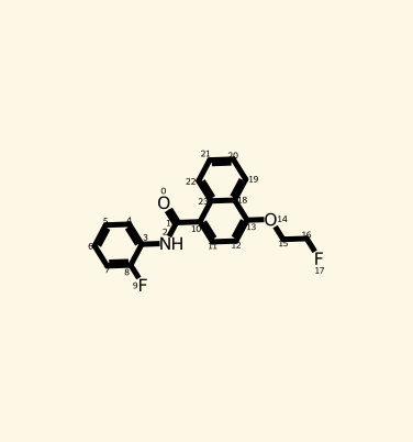 O=C(Nc1ccccc1F)c1ccc(OCCF)c2ccccc12